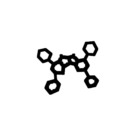 c1ccc(-c2cc(C3CCCCC3)c3sc4sc5c(C6CCCCC6)cc(-c6ccccc6)cc5c4c3c2)cc1